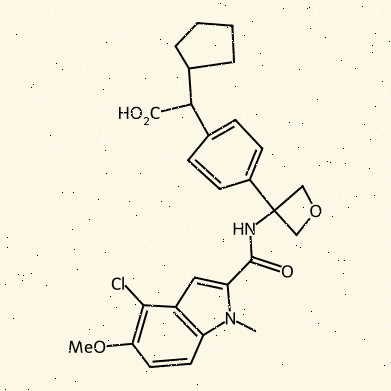 COc1ccc2c(cc(C(=O)NC3(c4ccc(C(C(=O)O)C5CCCC5)cc4)COC3)n2C)c1Cl